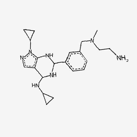 CN(CCN)Cc1cccc(C2Nc3c(cnn3C3CC3)C(NC3CC3)N2)c1